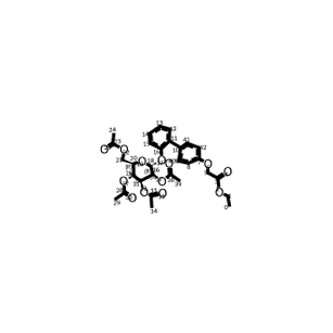 CCOC(=O)COc1ccc(-c2ccccc2O[C@H]2O[C@H](COC(C)=O)[C@@H](OC(C)=O)[C@H](OC(C)=O)[C@@H]2OC(C)=O)cc1